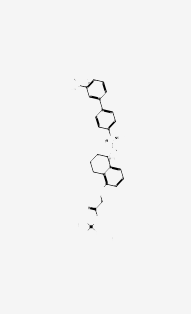 C[S+]([O-])c1cccc(-c2ccc(S(=O)(=O)N[C@@H]3CCCc4c(OCC(=O)OC(C)(C)C)cccc43)cc2)c1